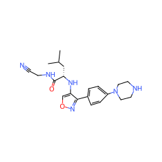 CC(C)C[C@H](Nc1conc1-c1ccc(N2CCNCC2)cc1)C(=O)NCC#N